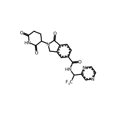 O=C1CCC(N2Cc3cc(C(=O)NC(c4cnccn4)C(F)(F)F)ccc3C2=O)C(=O)N1